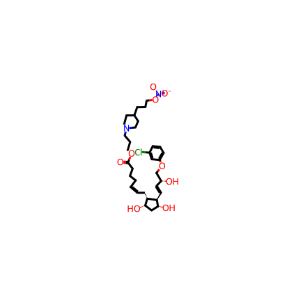 O=C(CCC/C=C\C[C@@H]1[C@@H](/C=C/[C@@H](O)COc2cccc(Cl)c2)[C@H](O)C[C@@H]1O)OCCCN1CCC(CCCO[N+](=O)[O-])CC1